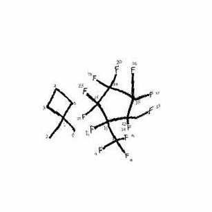 CC1(C)CCC1.FC(F)(F)C1(F)C(F)(F)C(F)(F)C(F)(F)C1(F)F